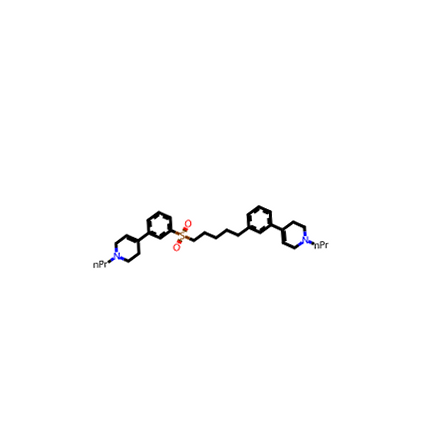 CCCN1CC=C(c2cccc(CCCCCS(=O)(=O)c3cccc(C4=CCN(CCC)CC4)c3)c2)CC1